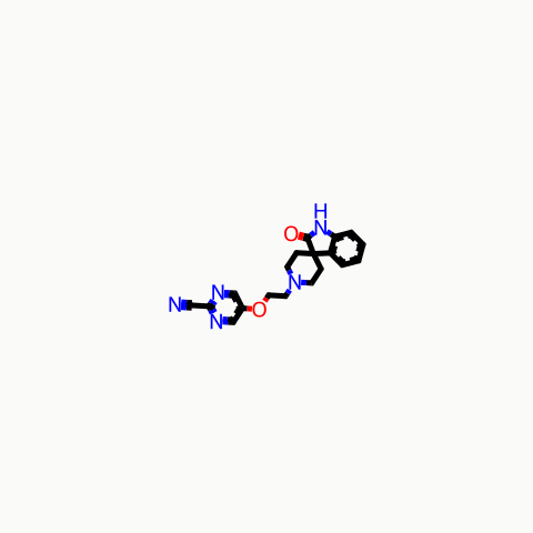 N#Cc1ncc(OCCN2CCC3(CC2)C(=O)Nc2ccccc23)cn1